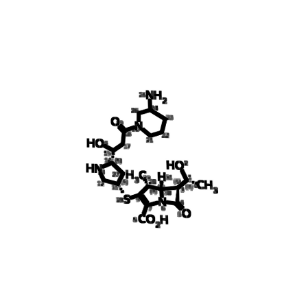 C[C@@H](O)[C@H]1C(=O)N2C(C(=O)O)=C(S[C@@H]3CN[C@H](C(O)CC(=O)N4CCCC(N)C4)C3)[C@H](C)[C@H]12